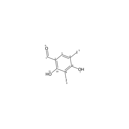 O=Cc1cc(I)c(O)c(I)c1O